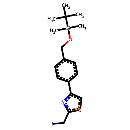 CC(C)(C)[Si](C)(C)OCc1ccc(-c2csc(CI)n2)cc1